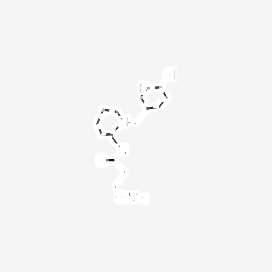 COCCC(=O)N=c1ccccn1Cc1ccc(Cl)nc1